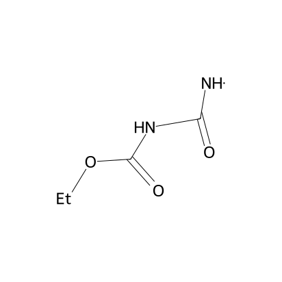 CCOC(=O)NC([NH])=O